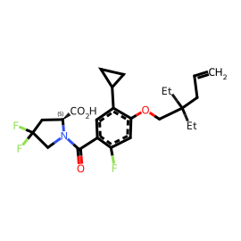 C=CCC(CC)(CC)COc1cc(F)c(C(=O)N2CC(F)(F)C[C@H]2C(=O)O)cc1C1CC1